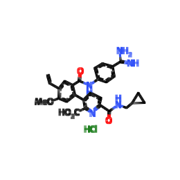 C=Cc1cc(C(=O)Nc2ccc(C(=N)N)cc2)c(-c2ccc(C(=O)NCC3CC3)nc2C(=O)O)cc1OC.Cl